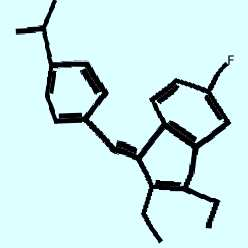 CCC1=C(CC)c2cc(F)ccc2/C1=C\c1ccc(C(C)C)cc1